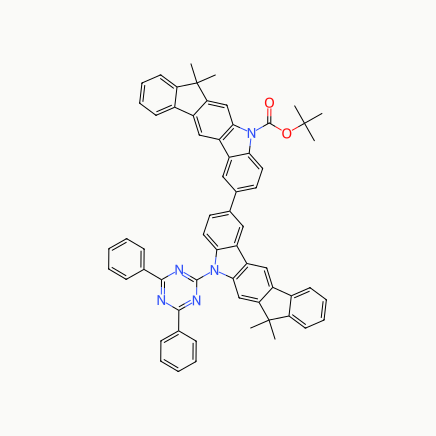 CC(C)(C)OC(=O)n1c2ccc(-c3ccc4c(c3)c3cc5c(cc3n4-c3nc(-c4ccccc4)nc(-c4ccccc4)n3)C(C)(C)c3ccccc3-5)cc2c2cc3c(cc21)C(C)(C)c1ccccc1-3